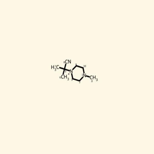 CN1CCN(C(C)(C)C#N)CC1